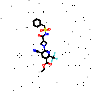 CCOC(=O)c1cc(C#N)c(N2CC(C(=O)NS(=O)(=O)Cc3ccccc3)C2)nc1C(F)(F)F